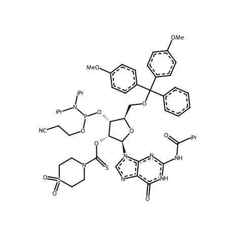 COc1ccc(C(OC[C@H]2O[C@@H](n3cnc4c(=O)[nH]c(NC(=O)C(C)C)nc43)[C@H](OC(=S)N3CCS(=O)(=O)CC3)[C@@H]2OP(OCCC#N)N(C(C)C)C(C)C)(c2ccccc2)c2ccc(OC)cc2)cc1